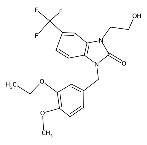 CCOc1cc(Cn2c(=O)n(CCO)c3cc(C(F)(F)F)ccc32)ccc1OC